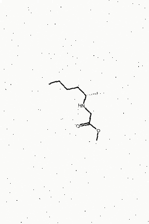 CCCC[C@H](C)NCC(=O)OC